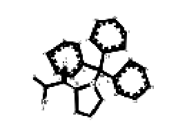 CC(Br)C(=O)[C@@H]1CCCN1C(c1ccccc1)(c1ccccc1)c1ccccc1